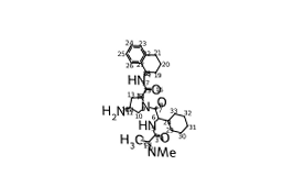 CN[C@@H](C)C(=O)NC(C(=O)N1C[C@@H](N)C[C@H]1C(=O)N[C@@H]1CCCc2ccccc21)C1CCCCC1